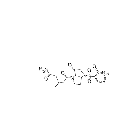 CC(CC(N)=O)CC(=O)N1CCC2C1C(=O)CN2S(=O)(=O)c1ccc[nH]c1=O